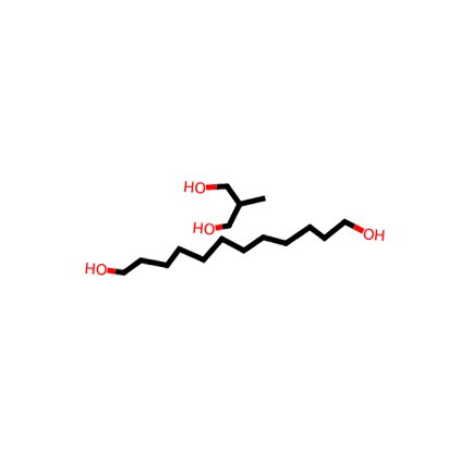 CC(CO)CO.OCCCCCCCCCCCCO